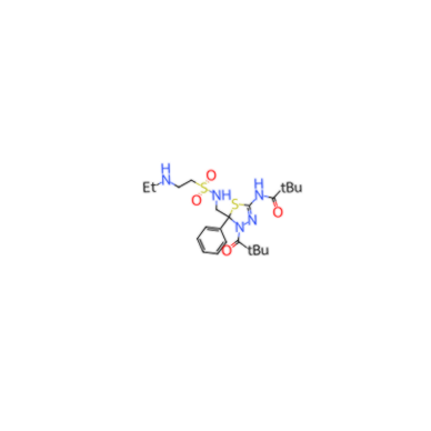 CCNCCS(=O)(=O)NCC1(c2ccccc2)SC(NC(=O)C(C)(C)C)=NN1C(=O)C(C)(C)C